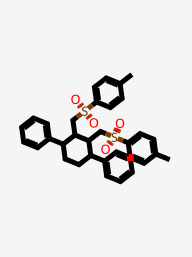 Cc1ccc(S(=O)(=O)CC2C(c3ccccc3)CCC(c3ccccc3)C2CS(=O)(=O)c2ccc(C)cc2)cc1